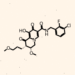 COCCC[C@@H]1C(=O)c2c(O)c(=O)c(C(=O)NCc3cccc(Cl)c3F)cn2C[C@@H]1OC